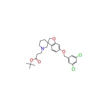 CC(C)(C)OC(=O)CCN1CCCC2(COc3cc(OCc4cc(Cl)cc(Cl)c4)ccc32)C1